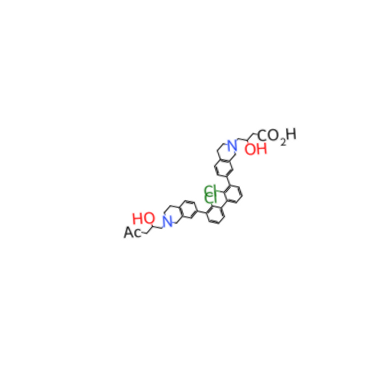 CC(=O)CC(O)CN1CCc2ccc(-c3cccc(-c4cccc(-c5ccc6c(c5)CN(CC(O)CC(=O)O)CC6)c4Cl)c3Cl)cc2C1